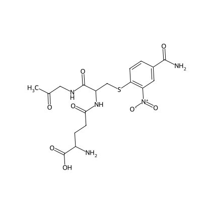 CC(=O)CNC(=O)C(CSc1ccc(C(N)=O)cc1[N+](=O)[O-])NC(=O)CCC(N)C(=O)O